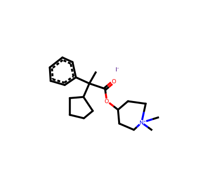 CC(C(=O)OC1CC[N+](C)(C)CC1)(c1ccccc1)C1CCCC1.[I-]